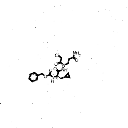 NC(=O)CCN(NC(=O)[C@@H](CC1CC1)NC(=O)OCc1ccccc1)C(=O)CCl